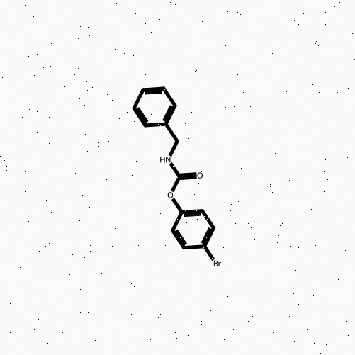 O=C(NCc1ccccc1)Oc1ccc(Br)cc1